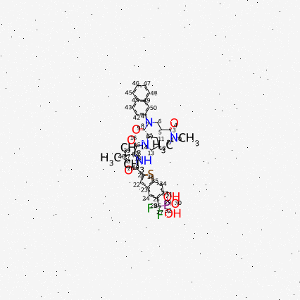 CN(C)C(=O)CCN(C(=O)[C@@H]1CCCN1C(=O)[C@@H](NC(=O)c1cc2cc(C(F)(F)P(=O)(O)O)ccc2s1)C(C)(C)C)c1ccc2ccccc2c1